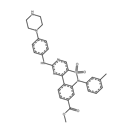 COC(=O)c1ccc2c(c1)N(c1cccc(C)c1)S(=O)(=O)c1cnc(Nc3ccc(N4CCNCC4)cc3)nc1-2